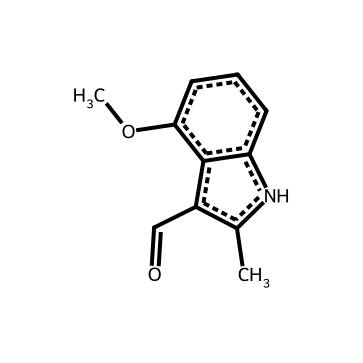 COc1cccc2[nH]c(C)c(C=O)c12